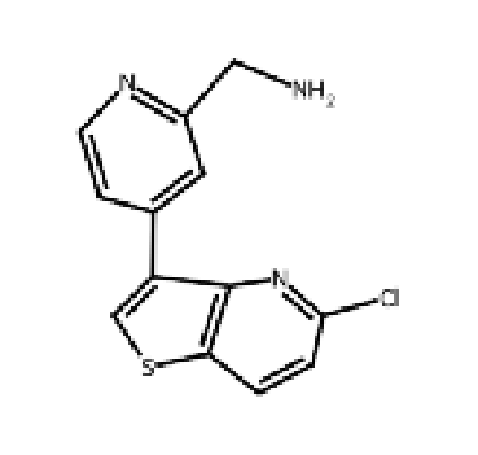 NCc1cc(-c2csc3ccc(Cl)nc23)ccn1